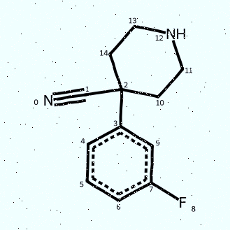 N#CC1(c2cccc(F)c2)CCNCC1